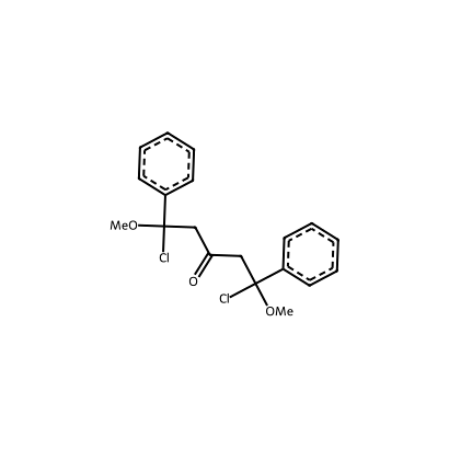 COC(Cl)(CC(=O)CC(Cl)(OC)c1ccccc1)c1ccccc1